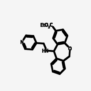 CCOC(=O)c1ccc2c(c1)C(NCc1ccncc1)c1ccccc1CO2